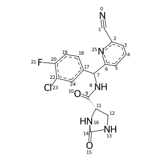 N#Cc1cccc(C(NC(=O)[C@@H]2CNC(=O)N2)c2ccc(F)c(Cl)c2)n1